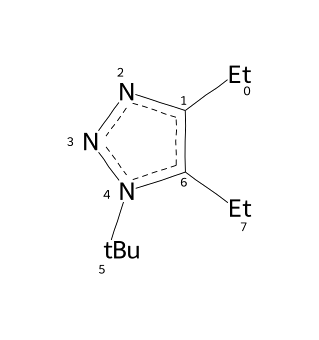 CCc1nnn(C(C)(C)C)c1CC